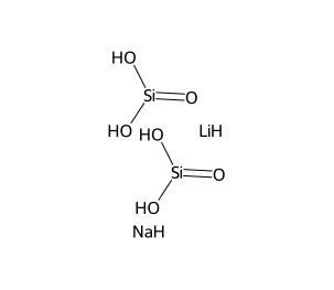 O=[Si](O)O.O=[Si](O)O.[LiH].[NaH]